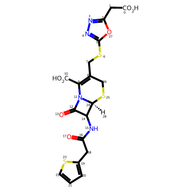 O=C(O)Cc1nnc(SCC2=C(C(=O)O)N3C(=O)C(NC(=O)Cc4cccs4)[C@@H]3SC2)o1